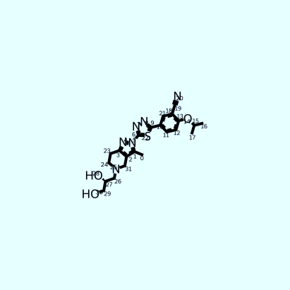 Cc1c2c(nn1-c1nnc(-c3ccc(OC(C)C)c(C#N)c3)s1)CCN(C[C@H](O)CO)C2